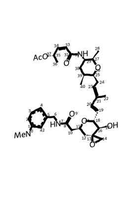 CNc1cccc(CNC(=O)C[C@@H]2C[C@@]3(CO3)[C@H](O)[C@@H](/C=C/C(C)=C/C[C@@H]3O[C@H](C)[C@H](NC(=O)/C=C\[C@H](C)OC(C)=O)C[C@@H]3C)O2)c1